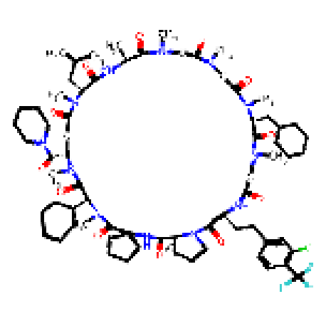 CC(C)C[C@H]1C(=O)N[C@@H](C)C(=O)N(C)CC(=O)N(C)CC(=O)N(C)[C@@H](CC2CCCCC2)C(=O)N(C)CC(=O)N[C@@H](CCc2ccc(C(F)(F)F)c(Cl)c2)C(=O)N2CCC[C@H]2C(=O)NC2(CCCC2)C(=O)N(C)[C@@H](C2CCCCC2)C(=O)N(C)[C@H](C(=O)N2CCCCC2)CC(=O)N1C